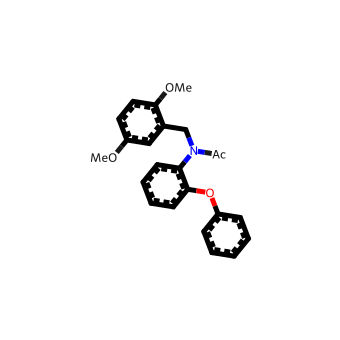 COc1ccc(OC)c(CN(C(C)=O)c2ccccc2Oc2ccccc2)c1